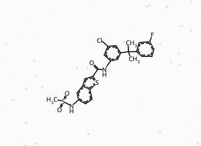 CC(C)(c1cccc(F)c1)c1cc(Cl)cc(NC(=O)c2cc3cc(NS(C)(=O)=O)ccc3s2)c1